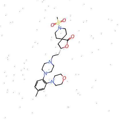 Cc1ccc(N2CCN(CC[C@@H]3CC4(CCN(S(C)(=O)=O)CC4)C(=O)O3)CC2)c(N2CCOCC2)c1